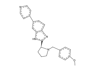 COc1ccc(CN2CCC[C@H]2c2nc3ccc(-c4ccncc4)cc3[nH]2)cc1